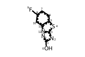 Oc1nc2sc3ccc(F)cc3n2n1